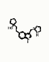 OC1(CCc2ccc3[nH]cc(C[C@H]4CCCN4)c3c2)CCCC1